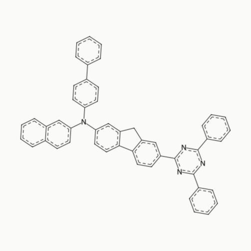 c1ccc(-c2ccc(N(c3ccc4c(c3)Cc3cc(-c5nc(-c6ccccc6)nc(-c6ccccc6)n5)ccc3-4)c3ccc4ccccc4c3)cc2)cc1